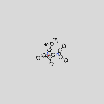 N#Cc1cc(C(F)(F)F)ccc1-c1ccc(-n2c3ccc(-c4ccccc4)cc3c3cc(-c4ccccc4)ccc32)c(-c2cc(-n3c4ccc(-c5ccccc5)cc4c4cc(-c5ccccc5)ccc43)ccc2C#N)c1